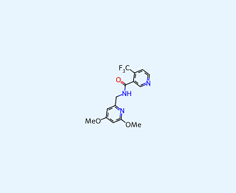 COc1cc(CNC(=O)c2cnccc2C(F)(F)F)nc(OC)c1